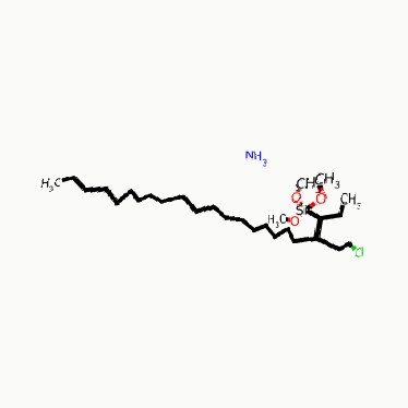 CCCCCCCCCCCCCCCCCCCC(CCCl)C(CC)[Si](OC)(OC)OC.N